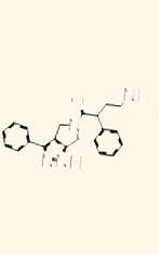 NCCC(C(=O)N1Cc2[nH]nc(-c3ccccc3)c2C1)c1ccccc1